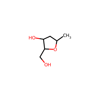 CC1CC(O)C(CO)O1